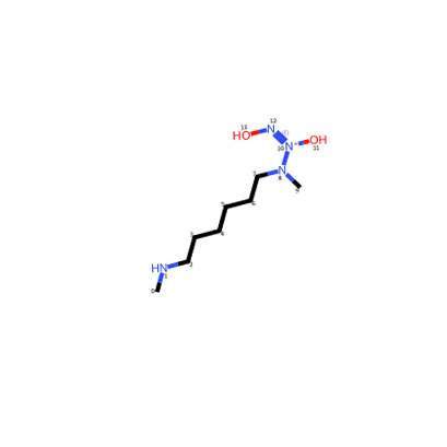 CNCCCCCCN(C)/[N+](O)=N\O